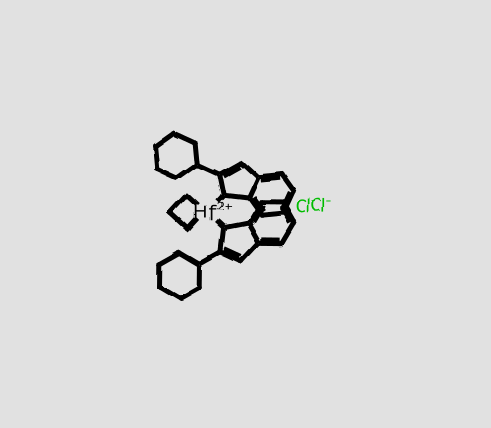 C1=C(C2CCCCC2)[CH]([Hf+2]2([CH]3C(C4CCCCC4)=Cc4ccccc43)[CH2]C[CH2]2)c2ccccc21.[Cl-].[Cl-]